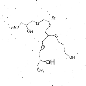 CCC(COCC(O)CO)OCC(COCC(O)CO)OCCCO